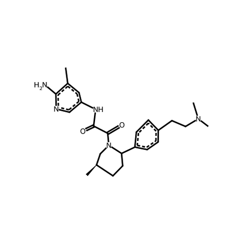 Cc1cc(NC(=O)C(=O)N2C[C@H](C)CCC2c2ccc(CCN(C)C)cc2)cnc1N